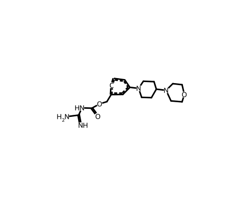 N=C(N)NC(=O)OCc1cccc(N2CCC(N3CCOCC3)CC2)c1